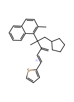 C=C(/C=C/c1cccs1)C(C)(CC1CCCC1)c1c(C)ccc2ccccc12